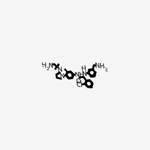 Cc1cc(NC(=O)C(Nc2cccc(CN)c2)c2ccccc2Cl)ccc1N1CCCC1=NC(C)(C)CN